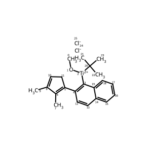 C[O][Ti+2]([c]1c(C2=C(C)C(C)=CC2)ccc2ccccc12)[C](C)(C)C.[Cl-].[Cl-]